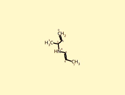 C=CC(C)N/C=C/C